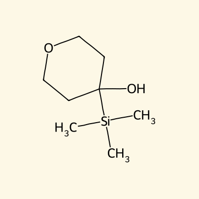 C[Si](C)(C)C1(O)CCOCC1